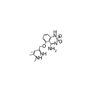 CN/C(C)=C\C(=N)COc1cccc2c1C(N)=NS(=O)(=O)N2